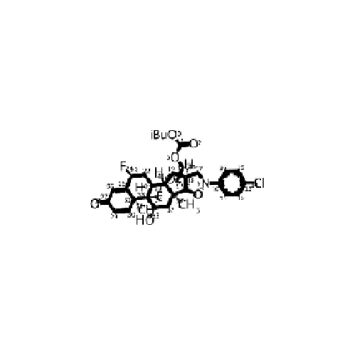 CC(C)COC(=O)OCC(=O)[C@@]12ON(c3ccc(Cl)cc3)C[C@@H]1C[C@H]1[C@@H]3C[C@H](F)C4=CC(=O)C=C[C@]4(C)[C@@]3(F)[C@@H](O)C[C@@]12C